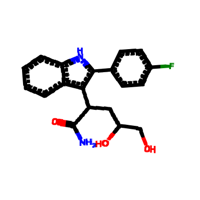 NC(=O)C(CC(O)CO)c1c(-c2ccc(F)cc2)[nH]c2ccccc12